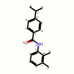 Cc1cccc(NC(=O)c2ccc(C(C)C)cc2)c1C